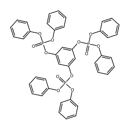 O=P(Oc1ccccc1)(Oc1ccccc1)Oc1cc(OP(=O)(Oc2ccccc2)Oc2ccccc2)cc(OP(=O)(Oc2ccccc2)Oc2ccccc2)c1